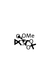 COS(=O)(=O)C1(C[C@@H]2COC(C)(C)O2)CC1